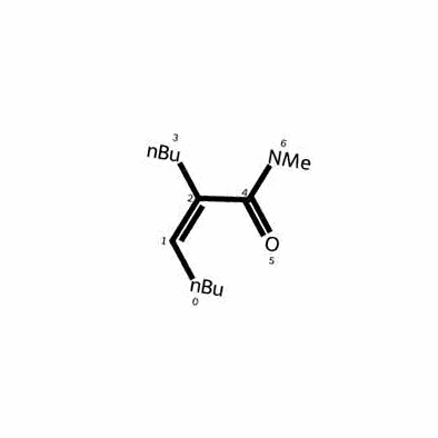 CCCCC=C(CCCC)C(=O)NC